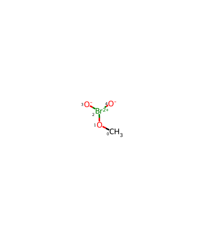 CO[Br+2]([O-])[O-]